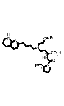 CC(C)(C)OCCN(CCCCc1ccc2c(n1)NCCC2)CC[C@H](NC(=O)N1CCC[C@H]1CF)C(=O)O